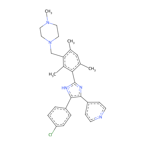 Cc1cc(C)c(-c2nc(-c3ccncc3)c(-c3ccc(Cl)cc3)[nH]2)c(C)c1CN1CCN(C)CC1